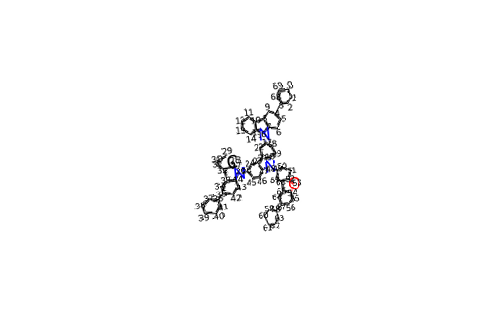 c1ccc(-c2ccc3c(c2)c2ccccc2n3-c2ccc3c(c2)c2cc(-n4c5ccccc5c5cc(-c6ccccc6)ccc54)ccc2n3-c2ccc3oc4ccc(C5CCCCC5)cc4c3c2)cc1